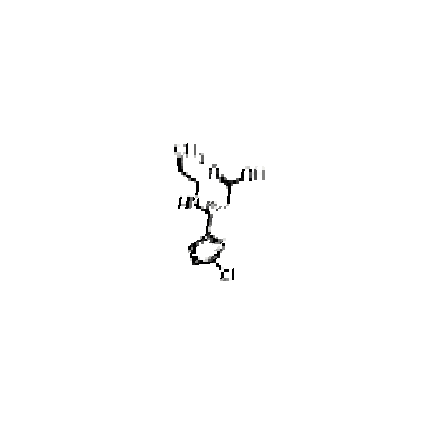 CCCN[C@H](CC(=O)O)c1ccc(Cl)s1